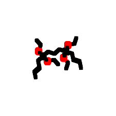 CC=CC[Si](CCC[Si](CC=CC)(OCC)OCC)(OCC)OCC